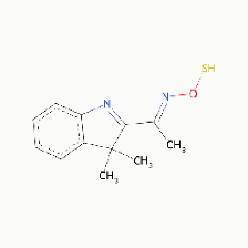 C/C(=N\OS)C1=Nc2ccccc2C1(C)C